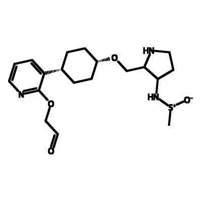 C[S+]([O-])NC1CCNC1CO[C@H]1CC[C@@H](c2cccnc2OCC=O)CC1